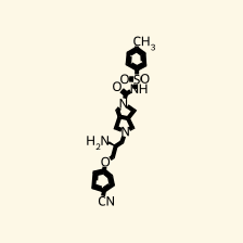 Cc1ccc(S(=O)(=O)NC(=O)N2CC3CN(C[C@H](N)COc4ccc(C#N)cc4)CC3C2)cc1